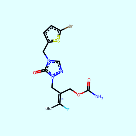 CC(C)(C)/C(F)=C(/COC(N)=O)Cn1ncn(Cc2ccc(Br)s2)c1=O